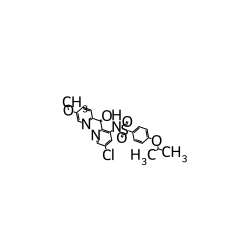 COc1ccc(C(=O)c2ncc(Cl)cc2NS(=O)(=O)c2ccc(OC(C)C)cc2)nc1